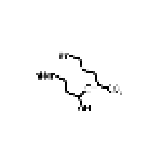 CC(C)CCCCC(=O)O.CCCCCCCCCCCC(O)O